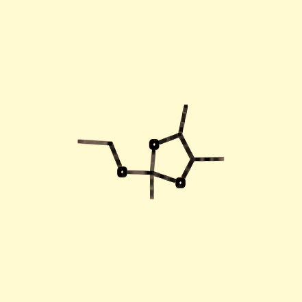 CCOC1(C)OC(C)C(C)O1